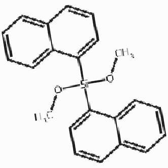 CO[Si](OC)(c1cccc2ccccc12)c1cccc2ccccc12